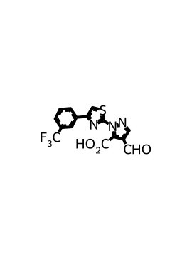 O=Cc1cnn(-c2nc(-c3cccc(C(F)(F)F)c3)cs2)c1C(=O)O